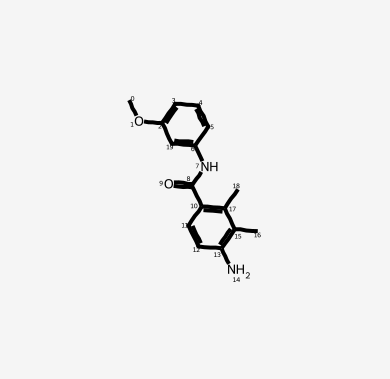 COc1cccc(NC(=O)c2ccc(N)c(C)c2C)c1